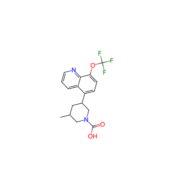 CC1CC(c2ccc(OC(F)(F)F)c3ncccc23)CN(C(=O)O)C1